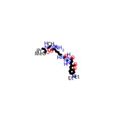 CCN(CC)c1ccc2cc(-c3cc(=O)[nH]c(NC(=O)NCCCCC(N)C(=O)NC(C)C(=O)NC(CC(C)C)C(=O)OC)n3)c(=O)oc2c1